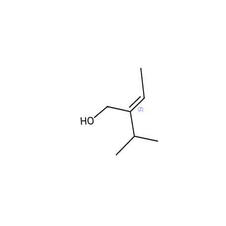 C/C=C(\CO)C(C)C